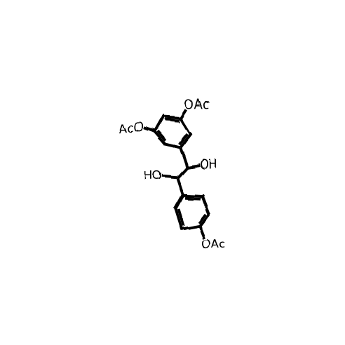 CC(=O)Oc1ccc(C(O)C(O)c2cc(OC(C)=O)cc(OC(C)=O)c2)cc1